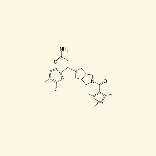 Cc1ccc(C(CC(N)=O)N2CC3CN(C(=O)c4c(C)sc(C)c4C)CC3C2)cc1Cl